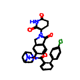 O=C1CCC(N2Cc3cc(CN4C5CC4CN(C(=O)c4ccccc4-c4ccc(Cl)cc4)C5)ccc3C2=O)C(=O)N1